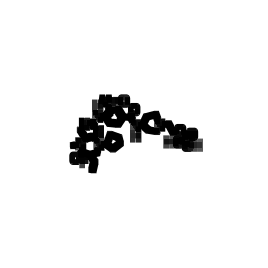 C=C[C@@]1(F)CN(C2CCCC2)c2nc(Nc3ccc(C(=O)NC4CCN(CCOP(=O)(O)O)CC4)cc3OC)ncc2N(C)C1=O